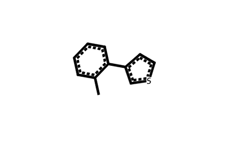 Cc1ccccc1-c1ccsc1